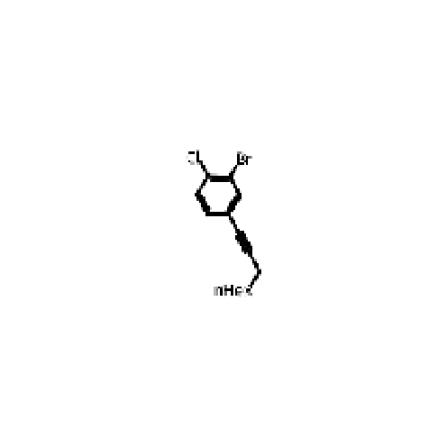 CCCCCCCC#Cc1ccc(Cl)c(Br)c1